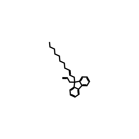 C=CCC1(CC=CCCCCCCCC)c2ccccc2-c2ccccc21